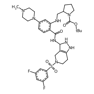 CN1CCN(c2ccc(C(=O)NC3NNC4=C3CN(S(=O)(=O)c3cc(F)cc(F)c3)CC4)c(NCC3CCCN3C(=O)OC(C)(C)C)c2)CC1